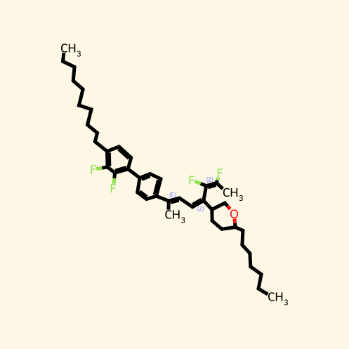 CCCCCCCCCCc1ccc(-c2ccc(/C(C)=C/C=C(\C(F)=C(/C)F)C3CCC(CCCCCCC)OC3)cc2)c(F)c1F